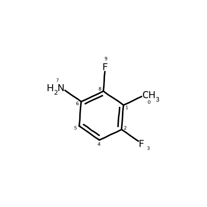 Cc1c(F)ccc(N)c1F